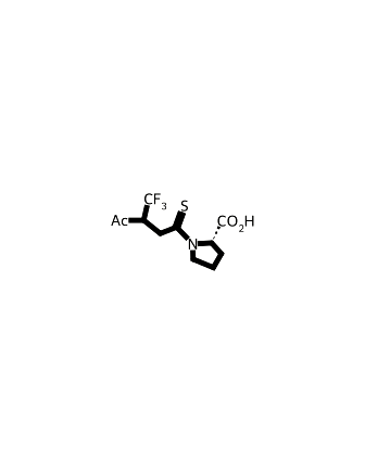 CC(=O)C(CC(=S)N1CCC[C@H]1C(=O)O)C(F)(F)F